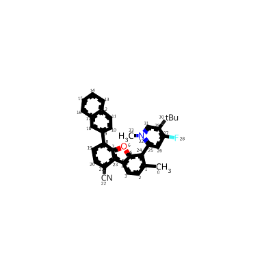 Cc1ccc2c(oc3c(-c4ccc5ccccc5c4)ccc(C#N)c32)c1-c1cc(F)c(C(C)(C)C)c[n+]1C